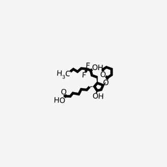 CCCCC(F)(F)C(O)CC[C@@H]1[C@@H](CCCCCCC(=O)O)[C@H](O)C[C@H]1OC1CCCCO1